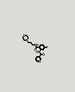 O=C(Nc1cc(F)ccc1C(=O)NCCCN1CCOCC1)c1cccnc1